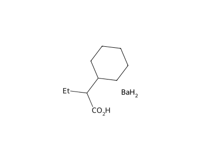 CCC(C(=O)O)C1CCCCC1.[BaH2]